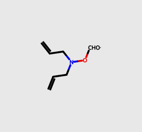 C=CCN(CC=C)O[C]=O